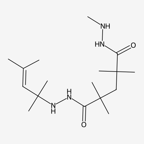 CNNC(=O)C(C)(C)CC(C)(C)C(=O)NNC(C)(C)C=C(C)C